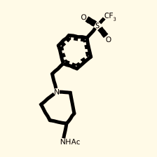 CC(=O)NC1CCN(Cc2ccc(S(=O)(=O)C(F)(F)F)cc2)CC1